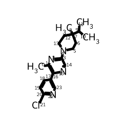 Cc1nc(N2CCC(C)(C(C)C)CC2)cnc1-c1ccc(Cl)nc1